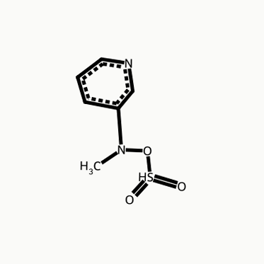 CN(O[SH](=O)=O)c1cccnc1